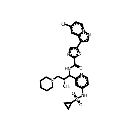 C[C@@H](CN1CCCCC1)[C@@H](NC(=O)c1ncc(-c2cnn3ccc(Cl)cc23)s1)c1cc(NS(=O)(=O)C2CC2)ccn1